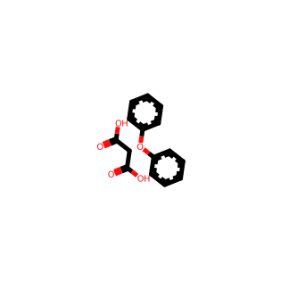 O=C(O)CC(=O)O.c1ccc(Oc2ccccc2)cc1